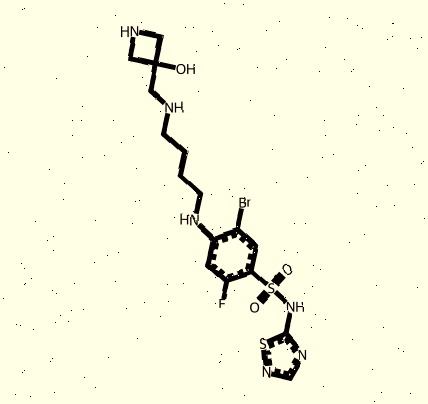 O=S(=O)(Nc1ncns1)c1cc(Br)c(NCCCCNCC2(O)CNC2)cc1F